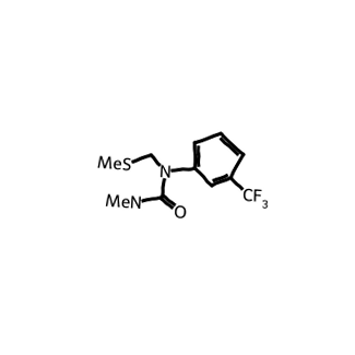 CNC(=O)N(CSC)c1cccc(C(F)(F)F)c1